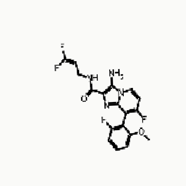 COc1cccc(F)c1-c1c(F)ccn2c(N)c(C(=O)NCC=C(F)F)nc12